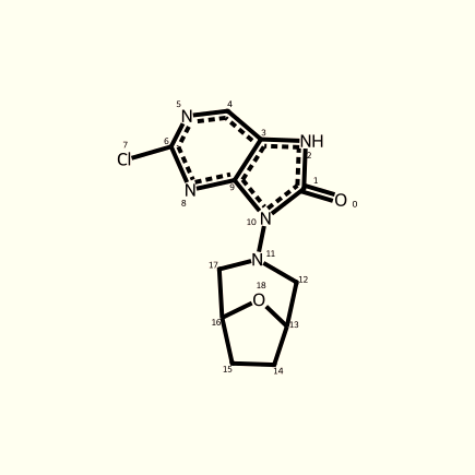 O=c1[nH]c2cnc(Cl)nc2n1N1CC2CCC(C1)O2